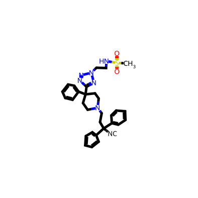 [C-]#[N+]C(CCN1CCC(c2ccccc2)(c2nnn(CCNS(C)(=O)=O)n2)CC1)(c1ccccc1)c1ccccc1